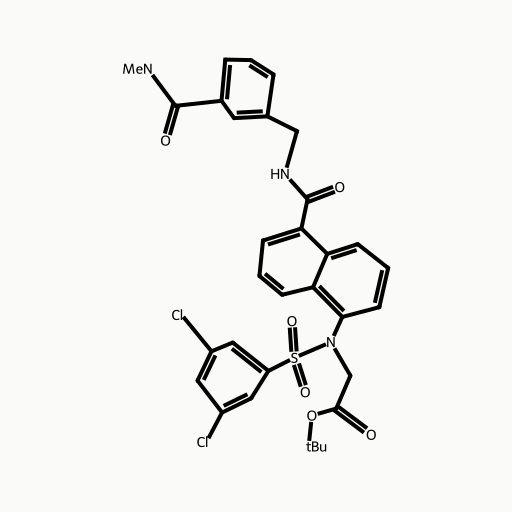 CNC(=O)c1cccc(CNC(=O)c2cccc3c(N(CC(=O)OC(C)(C)C)S(=O)(=O)c4cc(Cl)cc(Cl)c4)cccc23)c1